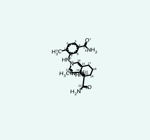 Cc1ccc(C(N)=O)cc1NN1C=NC23C(=C1)CCCC2=C(C(N)=O)NN3C